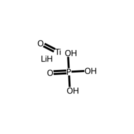 O=P(O)(O)O.[LiH].[O]=[Ti]